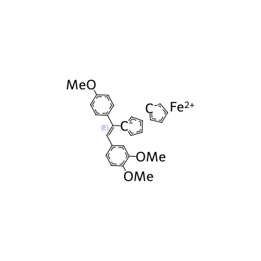 COc1ccc(/C(=C/c2ccc(OC)c(OC)c2)[c-]2cccc2)cc1.[Fe+2].c1cc[cH-]c1